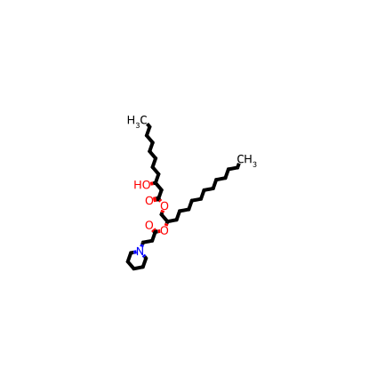 CCCCCCCCCCCCC(COC(=O)CC(O)CCCCCCCC)OC(=O)CCN1CCCCC1